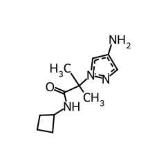 CC(C)(C(=O)NC1CCC1)n1cc(N)cn1